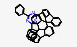 c1ccc(-c2nc(-c3ccccc3)nc(-c3cccc4c3C3(c5ccccc5-4)c4ccccc4C4(c5ccccc5)c5ccccc5-c5cccc3c54)n2)cc1